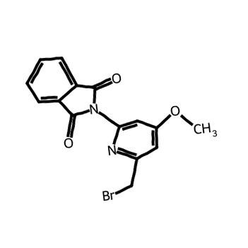 COc1cc(CBr)nc(N2C(=O)c3ccccc3C2=O)c1